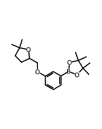 CC1(C)CCC(COc2cccc(B3OC(C)(C)C(C)(C)O3)c2)O1